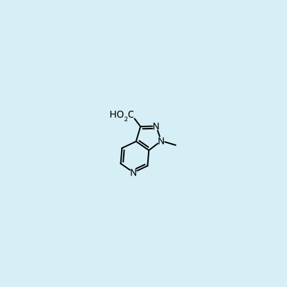 Cn1nc(C(=O)O)c2ccncc21